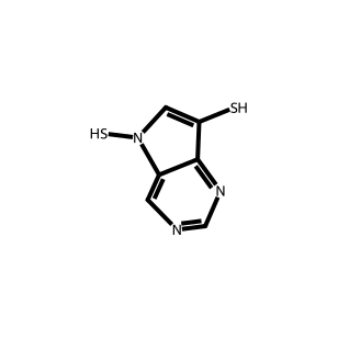 Sc1cn(S)c2cncnc12